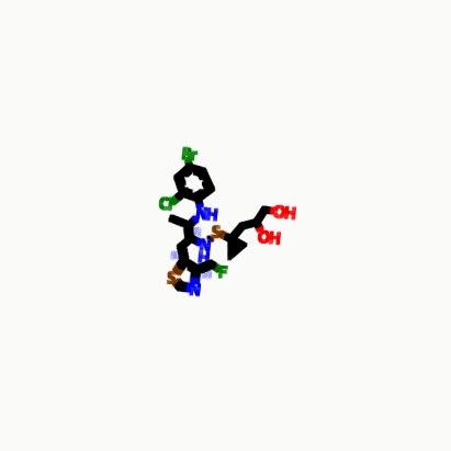 C\C(Nc1ccc(Br)cc1Cl)=C(/C=c1/scn/c1=C\F)NSC1(CC(O)CO)CC1